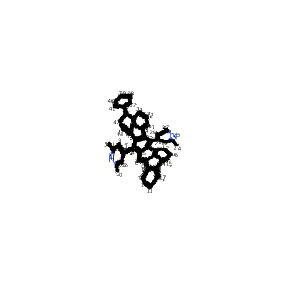 Cc1cc(-c2c3cc4c5ccccc5c5cccc(c3c(-c3cc(C)nc(C)c3)c3c6cccc7c(-c8ccccc8)ccc(c23)c76)c54)cc(C)n1